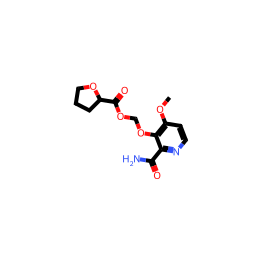 COc1ccnc(C(N)=O)c1OCOC(=O)C1CCCO1